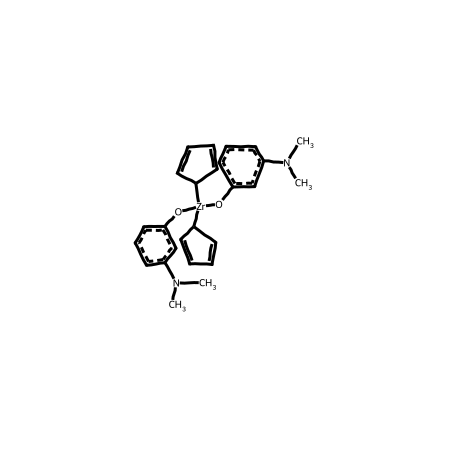 CN(C)c1cccc([O][Zr]([O]c2cccc(N(C)C)c2)([CH]2C=CC=C2)[CH]2C=CC=C2)c1